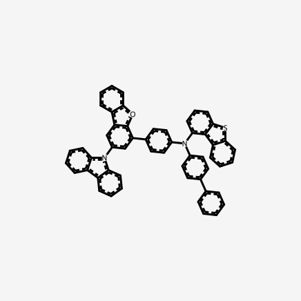 c1ccc(-c2ccc(N(c3ccc(-c4cc(-n5c6ccccc6c6ccccc65)cc5c4oc4ccccc45)cc3)c3cccc4sc5ccccc5c34)cc2)cc1